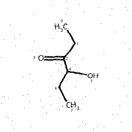 CCC(=O)C(O)CC